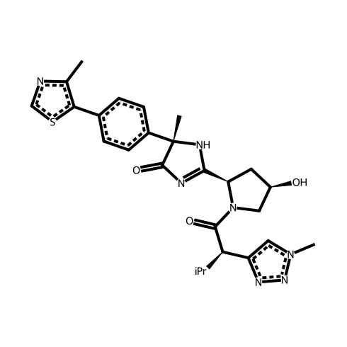 Cc1ncsc1-c1ccc([C@]2(C)NC([C@H]3C[C@@H](O)CN3C(=O)[C@@H](c3cn(C)nn3)C(C)C)=NC2=O)cc1